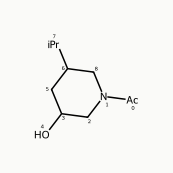 CC(=O)N1CC(O)CC(C(C)C)C1